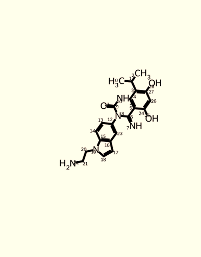 CC(C)c1cc(C(=N)N(C(N)=O)c2ccc3c(ccn3CCN)c2)c(O)cc1O